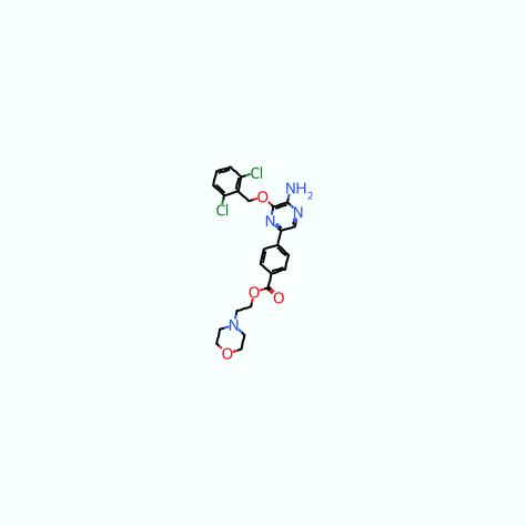 Nc1ncc(-c2ccc(C(=O)OCCN3CCOCC3)cc2)nc1OCc1c(Cl)cccc1Cl